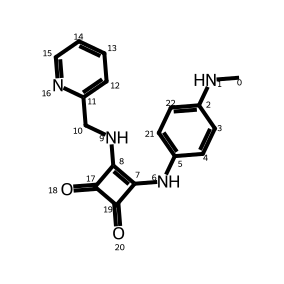 CNc1ccc(Nc2c(NCc3ccccn3)c(=O)c2=O)cc1